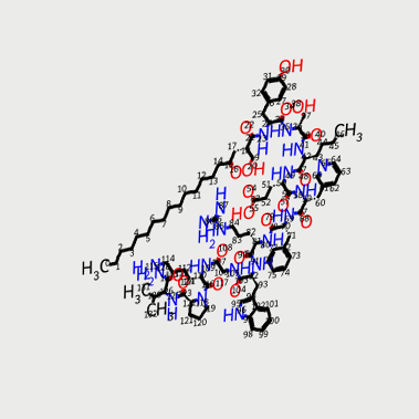 CCCCCCCCCCCCCCCC(=O)C[C@@H](CO)C(=O)NC(Cc1ccc(O)cc1)C(=O)N[C@@H](CO)C(=O)N[C@@H](CCCC)C(=O)N[C@@H](CCC(=O)O)C(=O)N[C@H](Cc1cccnc1)C(=O)N[C@H](Cc1ccccc1)C(=O)N[C@@H](CCCNC(=N)N)C(=O)N[C@@H](Cc1c[nH]c2ccccc12)C(=O)NCC(=O)N[C@@H](CCCCN)C(=O)N1CCC[C@H]1C(=O)N[C@H](C(N)=O)C(C)C